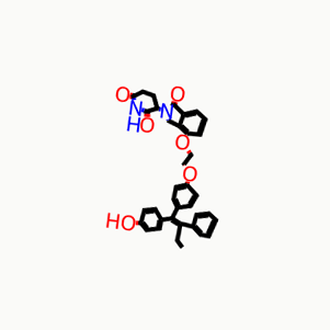 CCC(=C(c1ccc(O)cc1)c1ccc(OCCOc2cccc3c2CN(C2CCC(=O)NC2=O)C3=O)cc1)c1ccccc1